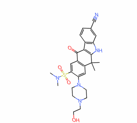 CN(C)S(=O)(=O)c1cc2c(cc1N1CCN(CCO)CC1)C(C)(C)c1[nH]c3cc(C#N)ccc3c1C2=O